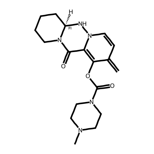 C=C1C=CN2N[C@@H]3CCCCN3C(=O)C2=C1OC(=O)N1CCN(C)CC1